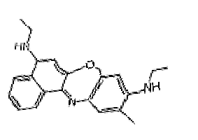 CCNc1cc2c(cc1C)N=C1C(=CC(NCC)c3ccccc31)O2